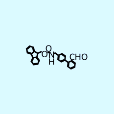 O=Cc1ccccc1-c1ccc(CNC(=O)OCC2c3ccccc3-c3ccccc32)cc1